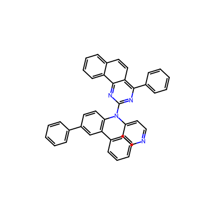 c1ccc(-c2ccc(N(c3ccncc3)c3nc(-c4ccccc4)c4ccc5ccccc5c4n3)c(-c3ccccc3)c2)cc1